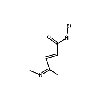 CCNC(=O)/C=C/C(C)=N\C